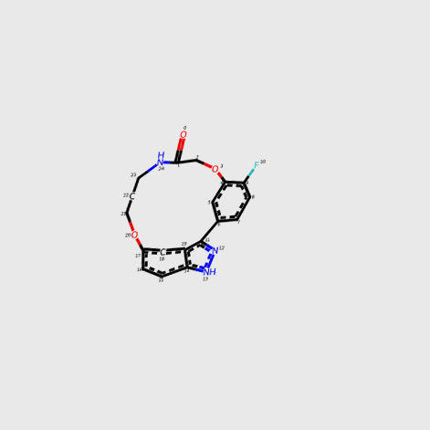 O=C1COc2cc(ccc2F)-c2n[nH]c3ccc(cc23)OCCCN1